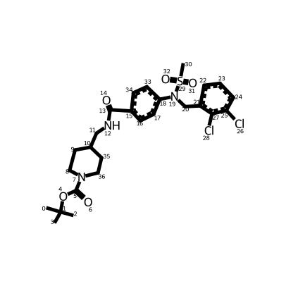 CC(C)(C)OC(=O)N1CCC(CNC(=O)c2ccc(N(Cc3cccc(Cl)c3Cl)S(C)(=O)=O)cc2)CC1